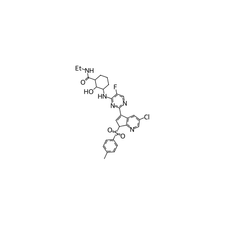 CCNC(=O)C1CCCC(Nc2nc(C3=CC(S(=O)(=O)c4ccc(C)cc4)c4ncc(Cl)cc43)ncc2F)C1O